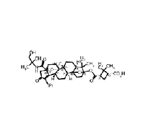 CC(C)C1=C2[C@H]3CC[C@@H]4[C@@]5(C)CC[C@H](OC(=O)[C@H]6C[C@@H](C(=O)O)C6(C)C)C(C)(C)[C@@H]5CC[C@@]4(C)[C@]3(C)CC[C@@]2(C(=O)NC(C)(C)CO)CC1=O